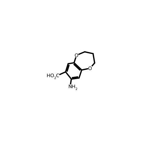 Nc1cc2c(cc1C(=O)O)OCCCO2